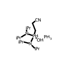 CC(C)N(C(C)C)[PH](O)(CCC#N)N(C(C)C)C(C)C.P